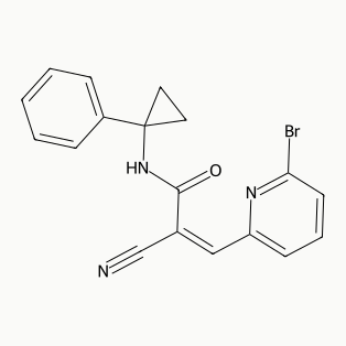 N#CC(=Cc1cccc(Br)n1)C(=O)NC1(c2ccccc2)CC1